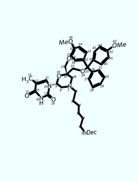 CCCCCCCCCCCCCCCCN1C[C@H](n2cc(C)c(=O)[nH]c2=O)O[C@](CO)(COC(c2ccccc2)(c2ccc(OC)cc2)c2ccc(OC)cc2)C1